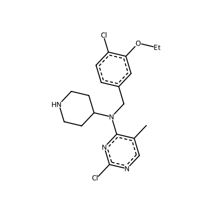 CCOc1cc(CN(c2nc(Cl)ncc2C)C2CCNCC2)ccc1Cl